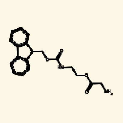 NCC(=O)OCCNC(=O)OCC1c2ccccc2-c2ccccc21